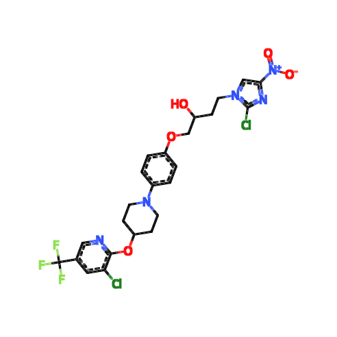 O=[N+]([O-])c1cn(CCC(O)COc2ccc(N3CCC(Oc4ncc(C(F)(F)F)cc4Cl)CC3)cc2)c(Cl)n1